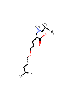 CC(C)CCCOCCCC(CN(C)CC(C)C)C(=O)O